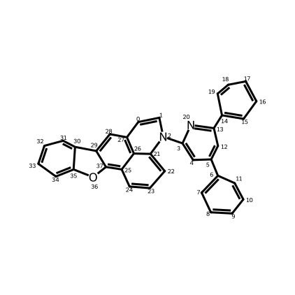 C1=CN(c2cc(-c3ccccc3)cc(-c3ccccc3)n2)c2cccc3c2c1cc1c2ccccc2oc31